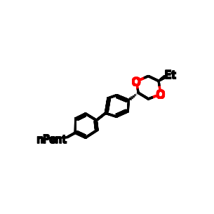 CCCCCc1ccc(-c2ccc([C@H]3CO[C@H](CC)CO3)cc2)cc1